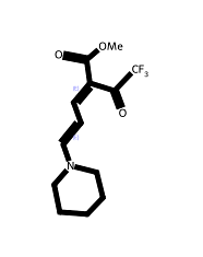 COC(=O)/C(=C/C=C/N1CCCCC1)C(=O)C(F)(F)F